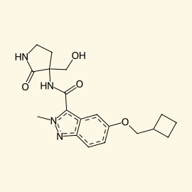 Cn1nc2ccc(OCC3CCC3)cc2c1C(=O)NC1(CO)CCNC1=O